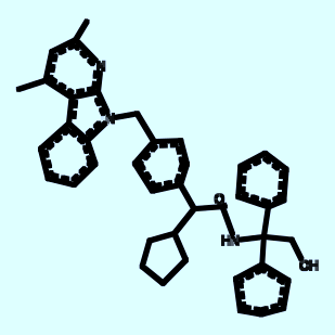 Cc1cc(C)c2c3ccccc3n(Cc3ccc(C(C(=O)NC(CO)(c4ccccc4)c4ccccc4)C4CCCC4)cc3)c2n1